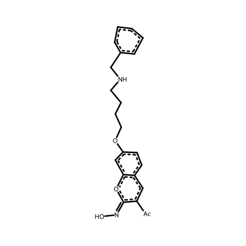 CC(=O)c1cc2ccc(OCCCCNCc3ccccc3)cc2oc1=NO